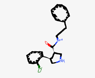 O=C(NCCc1ccccc1)[C@@H]1CNC[C@H]1c1ccccc1Cl